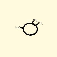 C=C1CCC=CCCC(C)=C(C)CC1